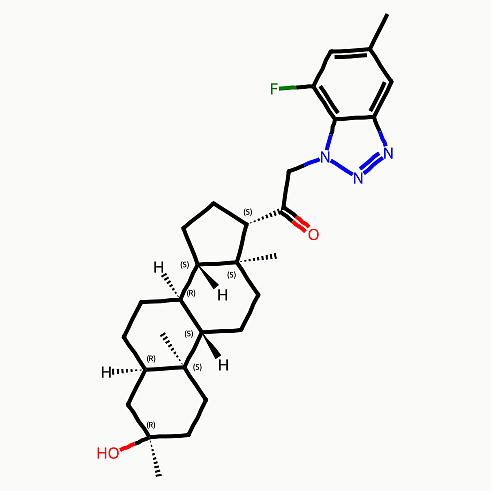 Cc1cc(F)c2c(c1)nnn2CC(=O)[C@H]1CC[C@H]2[C@@H]3CC[C@@H]4C[C@](C)(O)CC[C@]4(C)[C@H]3CC[C@]12C